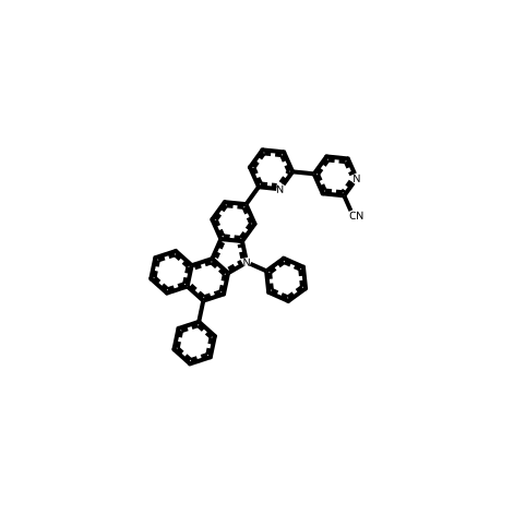 N#Cc1cc(-c2cccc(-c3ccc4c5c6ccccc6c(-c6ccccc6)cc5n(-c5ccccc5)c4c3)n2)ccn1